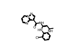 CC(=N)/C=C(/NC(=O)c1cnn2cccnc12)Nc1ccccc1Cl